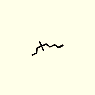 C=CCCCC(C)(C)CCC